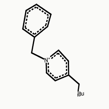 CCC(C)Cc1cc[n+](Cc2ccccc2)cc1